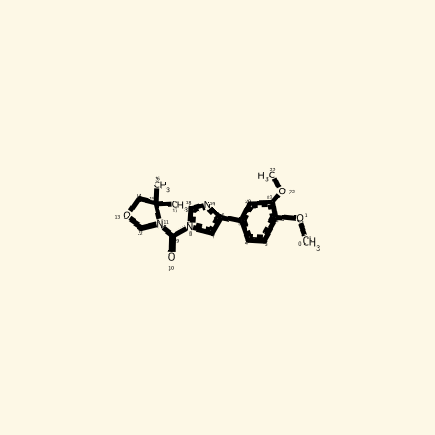 COc1ccc(-c2cn(C(=O)N3COCC3(C)C)cn2)cc1OC